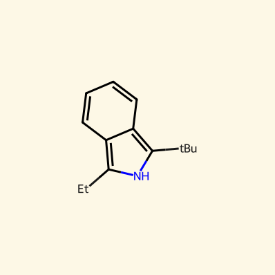 CCc1[nH]c(C(C)(C)C)c2ccccc12